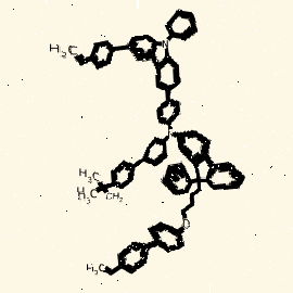 C=Cc1ccc(-c2ccc(OCCCCC3(c4ccccc4)c4ccccc4-c4ccc(N(C5=CCC(c6ccc(C(C)(C)C)cc6)C=C5)c5ccc(C6=CC7c8cc(-c9ccc(C=C)cc9)ccc8N(C8C=CC=CC8)C7C=C6)cc5)cc43)cc2)cc1